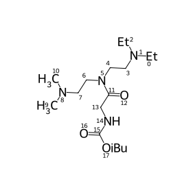 CCN(CC)CCN(CCN(C)C)C(=O)CNC(=O)OCC(C)C